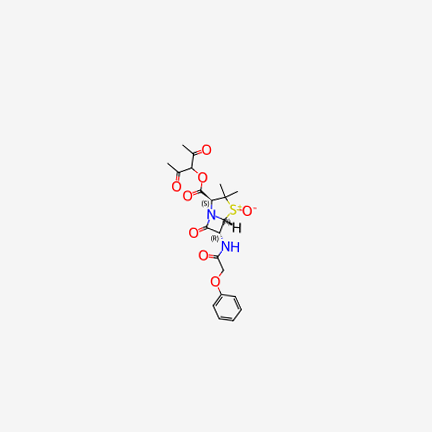 CC(=O)C(OC(=O)[C@@H]1N2C(=O)[C@@H](NC(=O)COc3ccccc3)[C@H]2[S+]([O-])C1(C)C)C(C)=O